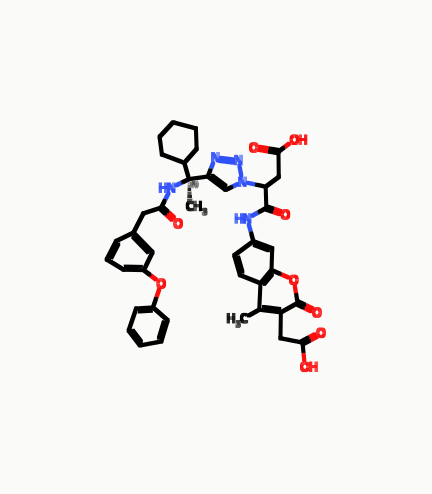 Cc1c(CC(=O)O)c(=O)oc2cc(NC(=O)C(CC(=O)O)n3cc([C@@](C)(NC(=O)Cc4cccc(Oc5ccccc5)c4)C4CCCCC4)nn3)ccc12